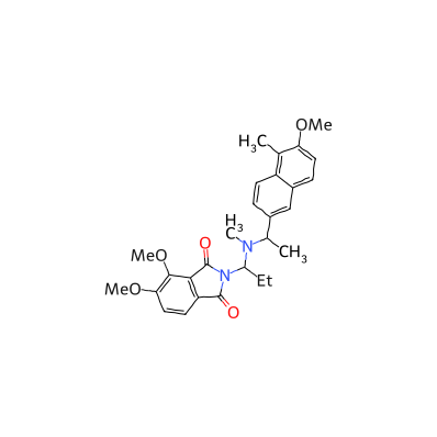 CCC(N1C(=O)c2ccc(OC)c(OC)c2C1=O)N(C)C(C)c1ccc2c(C)c(OC)ccc2c1